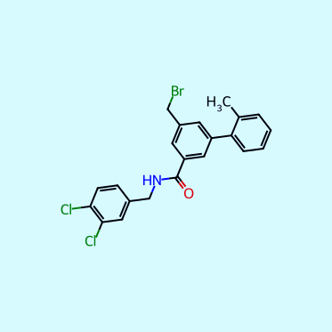 Cc1ccccc1-c1cc(CBr)cc(C(=O)NCc2ccc(Cl)c(Cl)c2)c1